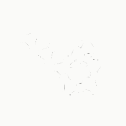 c1ccc(-c2ncc(-c3ccc4c5ccccc5c5ccccc5c5ccccc5c5c6ccccc6ccc5c4c3)cn2)cc1